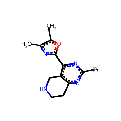 Cc1nc(-c2nc(C(C)C)nc3c2CNCC3)oc1C